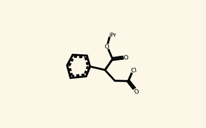 CC(C)OC(=O)C(CC(=O)Cl)c1ccccc1